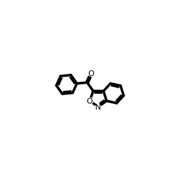 O=C(c1ccccc1)c1onc2ccccc12